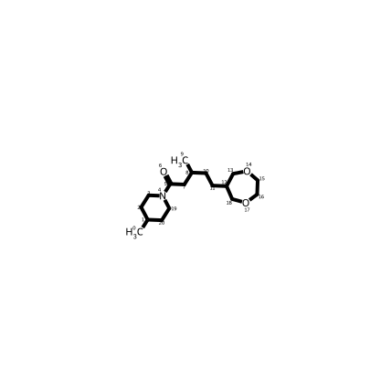 CC1CCN(C(=O)CC(C)CCC2COCCOC2)CC1